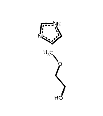 COCCO.c1c[nH]cn1